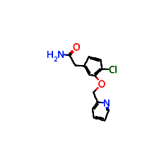 NC(=O)Cc1ccc(Cl)c(OCc2ccccn2)c1